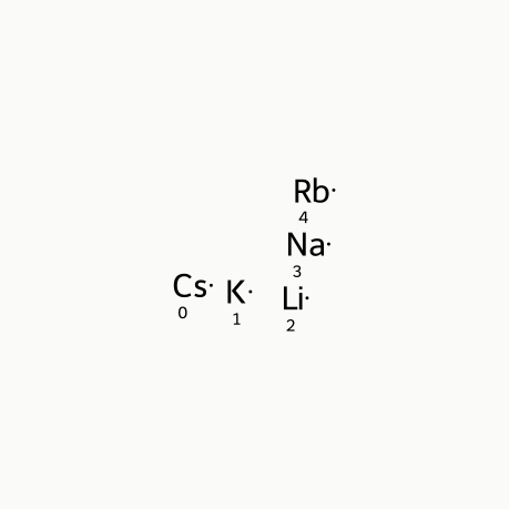 [Cs].[K].[Li].[Na].[Rb]